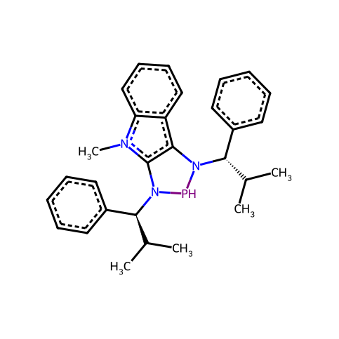 CC(C)[C@@H](c1ccccc1)N1PN([C@H](c2ccccc2)C(C)C)c2c1c1ccccc1n2C